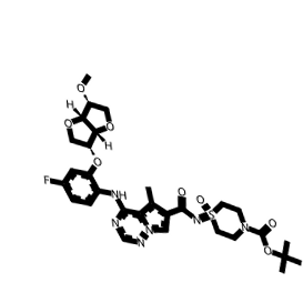 CO[C@@H]1CO[C@H]2[C@@H]1OC[C@H]2Oc1cc(F)ccc1Nc1ncnn2cc(C(=O)N=S3(=O)CCN(C(=O)OC(C)(C)C)CC3)c(C)c12